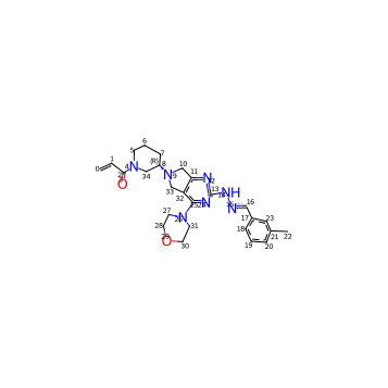 C=CC(=O)N1CCC[C@@H](N2Cc3nc(N/N=C/c4cccc(C)c4)nc(N4CCOCC4)c3C2)C1